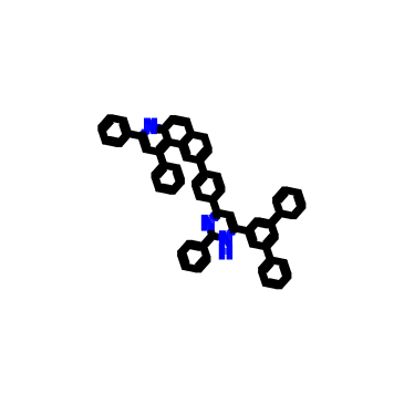 C1=CCC(c2cc(C3=CC(C4C=CC(C5=CCC6C=Cc7nc(-c8ccccc8)cc(-c8ccccc8)c7C6=C5)=CC4)=NC(c4ccccc4)N3)cc(-c3ccccc3)c2)C=C1